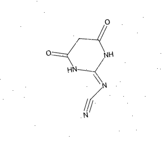 N#CN=C1NC(=O)CC(=O)N1